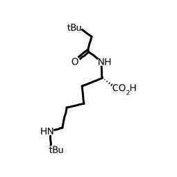 CC(C)(C)CC(=O)N[C@@H](CCCCNC(C)(C)C)C(=O)O